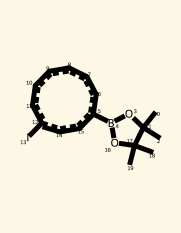 CC1(C)OB(c2ccccccc(I)cc2)OC1(C)C